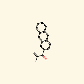 C=C(C)C(=O)c1ccc2cc3ccccc3cc2c1